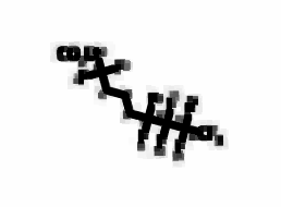 CCOC(=O)C(F)(F)CCCC(F)(F)C(F)(F)C(F)(F)C(F)(F)F